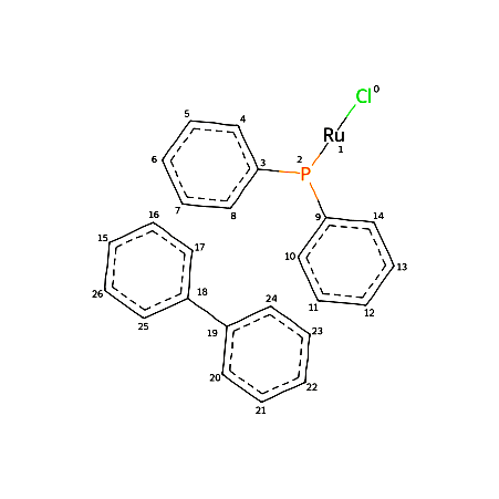 [Cl][Ru][P](c1ccccc1)c1ccccc1.c1ccc(-c2ccccc2)cc1